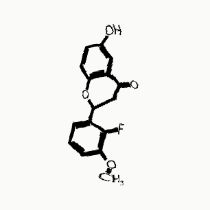 COc1cccc(C2CC(=O)c3cc(O)ccc3O2)c1F